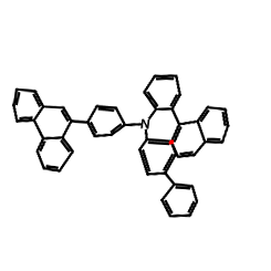 c1ccc(-c2ccc(N(c3ccc(-c4cc5ccccc5c5ccccc45)cc3)c3ccccc3-c3cccc4ccccc34)cc2)cc1